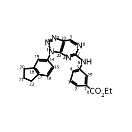 CCOC(=O)c1cccc(Nc2ncc3nnn(-c4ccc5c(c4)CCC5)c3n2)c1